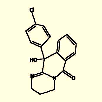 O=C1c2ccccc2C(O)(c2ccc(Cl)cc2)C2=NCCCN12